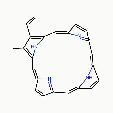 C=Cc1c(C)c2cc3nc(cc4ccc(cc5nc(cc1[nH]2)C=C5)[nH]4)C=C3